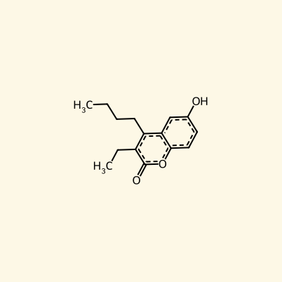 CCCCc1c(CC)c(=O)oc2ccc(O)cc12